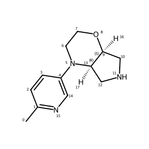 Cc1ccc(N2CCO[C@H]3CNC[C@H]32)cn1